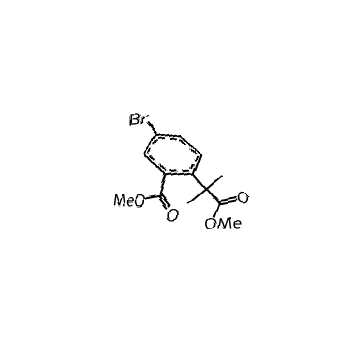 COC(=O)c1cc(Br)ccc1C(C)(C)C(=O)OC